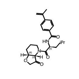 C=C(C)c1ccc(C(=O)N[C@@H](CC(C)C)C(=O)N2CCC[C@H]3OCC(=O)[C@H]32)cc1